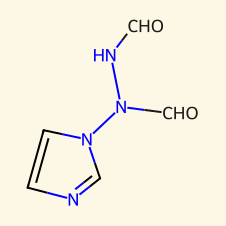 O=CNN(C=O)n1ccnc1